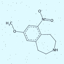 COc1cc2c(c([N+](=O)[O-])c1)CCNCC2